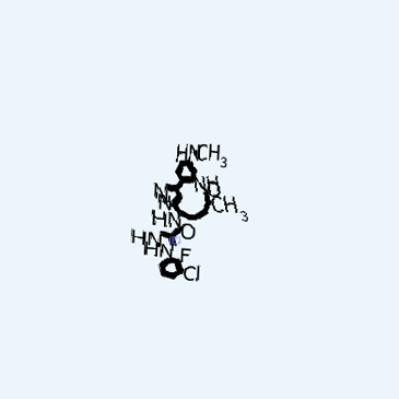 CNc1ccc2c(c1)NC(=O)C(C)CCCC(NC(=O)/C(C=N)=C/Nc1cccc(Cl)c1F)c1cc-2cnn1